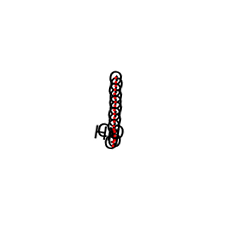 C=C(C)C(=O)OCC[NH][Co](=[O])[CH2]COCCOCCOCCOCCOCCOCCOCCOCCOC